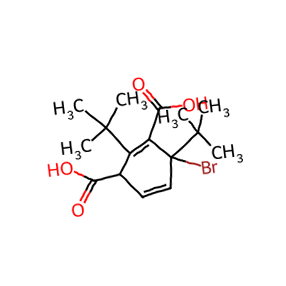 CC(C)(C)C1=C(C(=O)O)C(Br)(C(C)(C)C)C=CC1C(=O)O